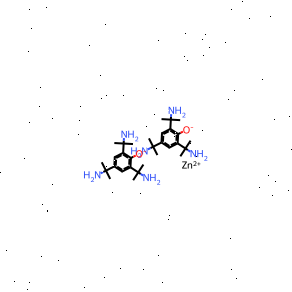 CC(C)(N)c1cc(C(C)(C)N)c([O-])c(C(C)(C)N)c1.CC(C)(N)c1cc(C(C)(C)N)c([O-])c(C(C)(C)N)c1.[Zn+2]